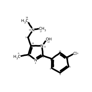 Cc1nc(-c2cccc(Cl)c2)n(O)c1CN(C)C